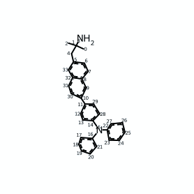 CC(C)(N)Cc1ccc2cc(-c3ccc(N(c4ccccc4)c4ccccc4)cc3)ccc2c1